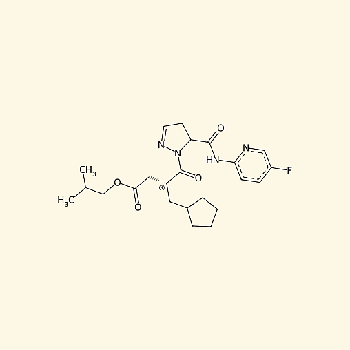 CC(C)COC(=O)C[C@@H](CC1CCCC1)C(=O)N1N=CCC1C(=O)Nc1ccc(F)cn1